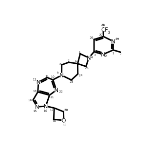 Cc1nc(N2CC3(CCN(c4cnc5cnn(C6COC6)c5n4)CC3)C2)cc(C(F)(F)F)n1